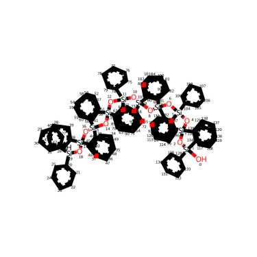 O[Si](O[Si](O[Si](O[Si](O[Si](O[Si](O[Si](O[Si](O[Si](O[SiH](c1ccccc1)c1ccccc1)(c1ccccc1)c1ccccc1)(c1ccccc1)c1ccccc1)(c1ccccc1)c1ccccc1)(c1ccccc1)c1ccccc1)(c1ccccc1)c1ccccc1)(c1ccccc1)c1ccccc1)(c1ccccc1)c1ccccc1)(c1ccccc1)c1ccccc1)(c1ccccc1)c1ccccc1